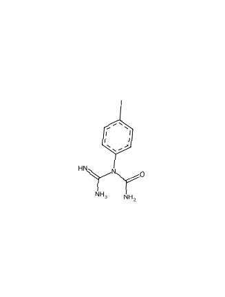 N=C(N)N(C(N)=O)c1ccc(I)cc1